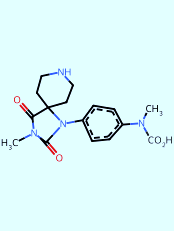 CN1C(=O)N(c2ccc(N(C)C(=O)O)cc2)C2(CCNCC2)C1=O